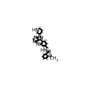 COc1ccccc1C(=O)NCc1ccc(-c2nn([C@@H]3CCCNC3)c3ncnc(N)c23)cc1